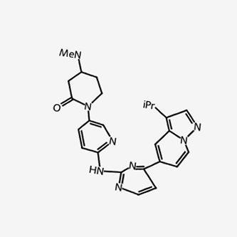 CNC1CCN(c2ccc(Nc3nccc(-c4ccn5ncc(C(C)C)c5c4)n3)nc2)C(=O)C1